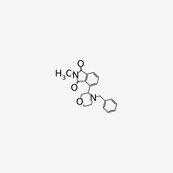 CN1C(=O)c2cccc(C3COCCN3Cc3ccccc3)c2C1=O